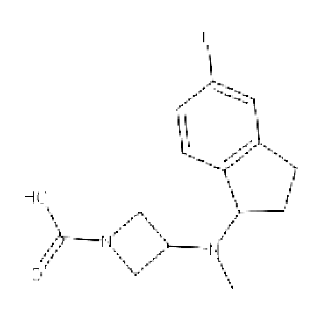 CN(C1CN(C(=O)O)C1)C1CCc2cc(F)ccc21